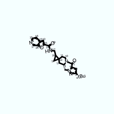 Cn1nc(C(C)(C)C)cc1C(=O)N1CCC2(CC1)CC2CNC(=O)c1cc2ccncc2o1